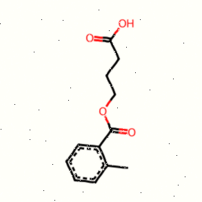 Cc1ccccc1C(=O)OCCCC(=O)O